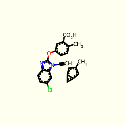 C#Cn1c(Oc2ccc(C)c(C(=O)O)c2)nc2ccc(Cl)cc21.Cc1cc2cc-2c1